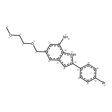 COCCOCc1cc(N)c2[nH]c(-c3ccc(Br)cc3)cc2c1